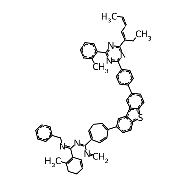 C=N/C(=N\C(=N/Cc1ccccc1)C1=C(C)CCC=C1)C1=CCC=C(c2ccc3sc4ccc(-c5ccc(-c6nc(/C(=C/C=C\C)CC)nc(-c7ccccc7C)n6)cc5)cc4c3c2)C=C1